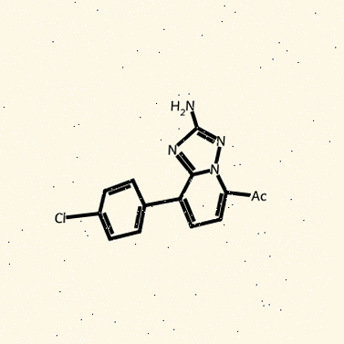 CC(=O)c1ccc(-c2ccc(Cl)cc2)c2nc(N)nn12